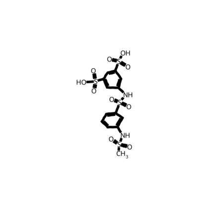 CS(=O)(=O)Nc1cccc(S(=O)(=O)Nc2cc(S(=O)(=O)O)cc(S(=O)(=O)O)c2)c1